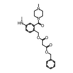 CN1CCN(C(=O)c2cc(NI)ccc2COC(=O)CC(=O)OCc2ccccc2)CC1